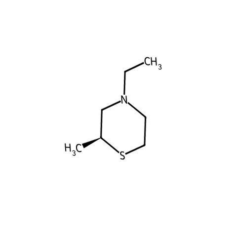 CCN1CCS[C@@H](C)C1